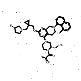 C=C(F)C(=O)N1CCN(c2nc(OCC3(CN4CC[C@@H](F)C4)CC3)nc3c2CCN(c2cccc4cccc(Cl)c24)C3)C[C@@H]1CC#N